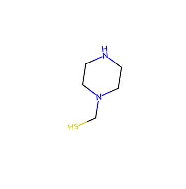 SCN1CCNCC1